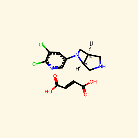 Clc1cc(N2C[C@H]3CNC[C@H]32)cnc1Cl.O=C(O)C=CC(=O)O